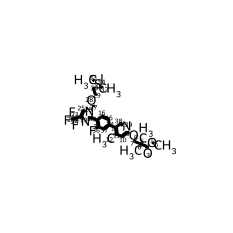 COC(=O)C(C)(C)COc1cc(C)c(-c2ccc(-c3nc(C(F)(F)F)cn3COCCS(C)(C)I)c(F)c2)cn1